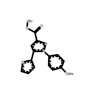 CCCCOC(=O)c1cc(-c2ccco2)n(-c2ccc(OC)cc2)n1